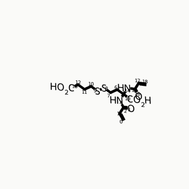 C=CC(=O)NC(CCSSCCCC(=O)O)(NC(=O)C=C)C(=O)O